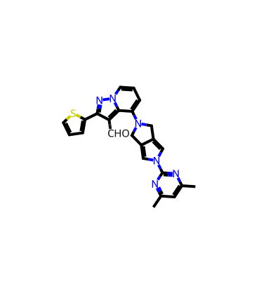 Cc1cc(C)nc(-n2cc3c(c2)CN(c2cccn4nc(-c5cccs5)c(C=O)c24)C3)n1